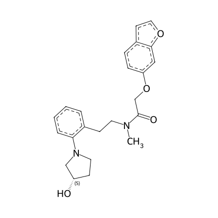 CN(CCc1ccccc1N1CC[C@H](O)C1)C(=O)COc1ccc2ccoc2c1